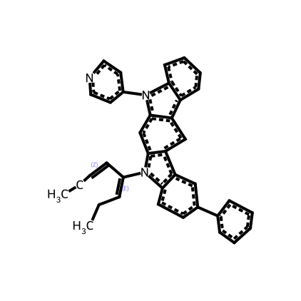 CC/C=C\C(=C/CC)n1c2ccc(-c3ccccc3)cc2c2cc3c4ccccc4n(-c4ccncc4)c3cc21